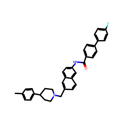 Cc1ccc(C2CCN(Cc3ccc4cc(NC(=O)c5ccc(-c6ccc(F)cc6)cc5)ccc4c3)CC2)cc1